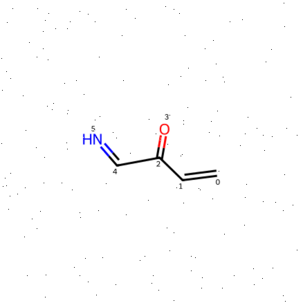 C=CC(=O)C=N